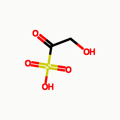 O=C(CO)S(=O)(=O)O